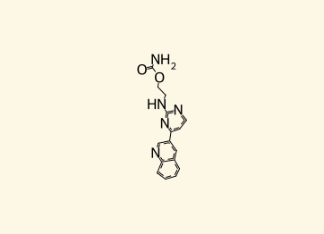 NC(=O)OCCNc1nccc(-c2cnc3ccccc3c2)n1